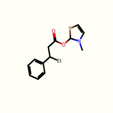 CCC(CC(=O)OC1SC=CN1C)c1ccccc1